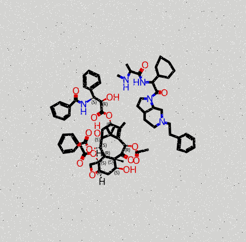 CC(=O)O[C@H]1C(=O)[C@@]2(C)[C@H]([C@H](OC(=O)c3ccccc3)[C@]3(O)C[C@H](OC(=O)[C@H](O)[C@@H](NC(=O)c4ccccc4)c4ccccc4)C(C)=C1C3(C)C)[C@]1(OC(C)=O)CO[C@@H]1C[C@@H]2O.CNC(C)C(=O)NC(C(=O)N1CCC2CCN(CCc3ccccc3)CC21)C1CCCCC1